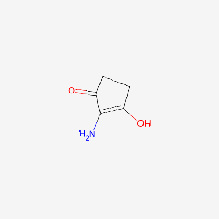 NC1=C(O)CCC1=O